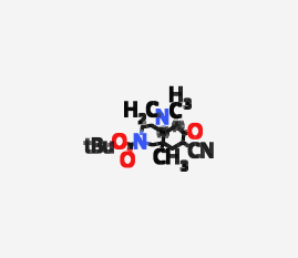 C=N[C@@]12CCN(C(=O)OC(C)(C)C)CC1(C)CC(C#N)C(=O)[C@H]2C